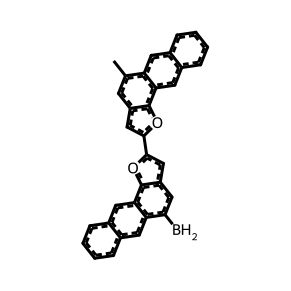 Bc1cc2cc(-c3cc4cc(C)c5cc6ccccc6cc5c4o3)oc2c2cc3ccccc3cc12